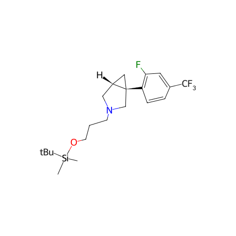 CC(C)(C)[Si](C)(C)OCCCN1C[C@@H]2C[C@]2(c2ccc(C(F)(F)F)cc2F)C1